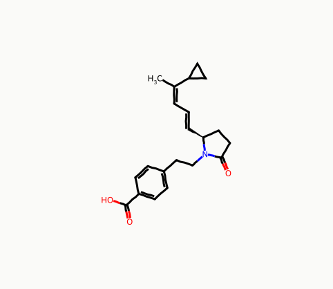 CC(=CC=C[C@H]1CCC(=O)N1CCc1ccc(C(=O)O)cc1)C1CC1